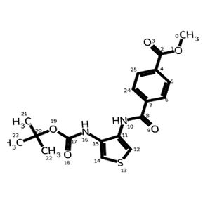 COC(=O)c1ccc(C(=O)Nc2cscc2NC(=O)OC(C)(C)C)cc1